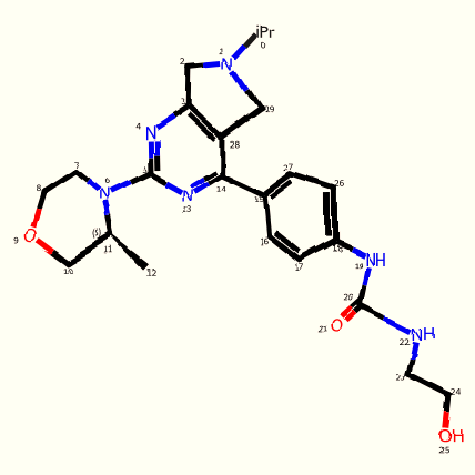 CC(C)N1Cc2nc(N3CCOC[C@@H]3C)nc(-c3ccc(NC(=O)NCCO)cc3)c2C1